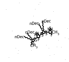 CCCCCCCCCCCCCCCCC1(CCCCCCCCCCCCCCCC)c2cc(-c3cc(F)c(C)c4nsnc34)sc2-c2sc(-c3cc(F)c(-c4cc5c(s4)-c4sc(C)cc4C5(CCCCCCCCCCCCCCCC)CCCCCCCCCCCCCCCC)c4nsnc34)cc21